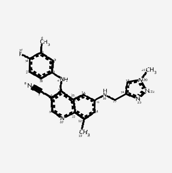 Cc1cc(Nc2c(C#N)cnc3c(C)cc(NCc4cn(C)nn4)cc23)ccc1F